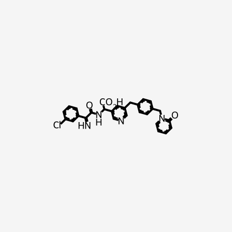 N=C(C(=O)NC(C(=O)O)c1cncc(Cc2ccc(Cn3ccccc3=O)cc2)c1)c1cccc(Cl)c1